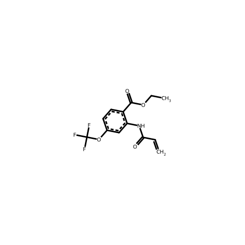 C=CC(=O)Nc1cc(OC(F)(F)F)ccc1C(=O)OCC